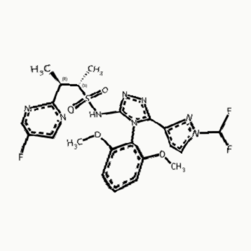 COc1cccc(OC)c1-n1c(NS(=O)(=O)[C@@H](C)[C@H](C)c2ncc(F)cn2)nnc1-c1ccn(C(F)F)n1